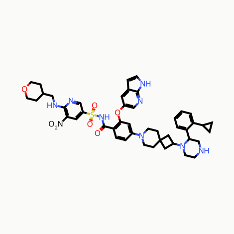 O=C(NS(=O)(=O)c1cnc(NCC2CCOCC2)c([N+](=O)[O-])c1)c1ccc(N2CCC3(CC2)CC(N2CCNCC2c2ccccc2C2CC2)C3)cc1Oc1cnc2[nH]ccc2c1